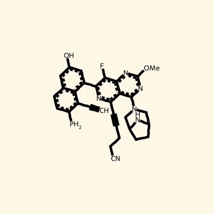 C#Cc1c(P)ccc2cc(O)cc(-c3nc(C#CCCC#N)c4c(N5CC6CCC(C5)N6)nc(OC)nc4c3F)c12